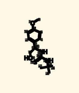 COc1ccc([C@H](CO)NC(=S)NC(C)(C)C)cc1